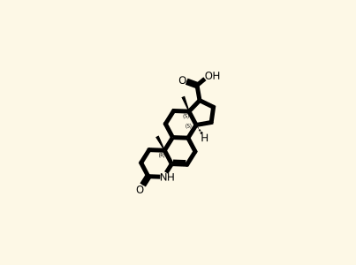 C[C@]12CCC(=O)NC1=CCC1C2CC[C@]2(C)C(C(=O)O)CC[C@@H]12